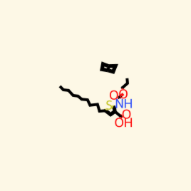 CCCCCCCCCCc1cc(C(=O)O)c(NC(=O)OCCC)s1.c1cc2ccc1-2